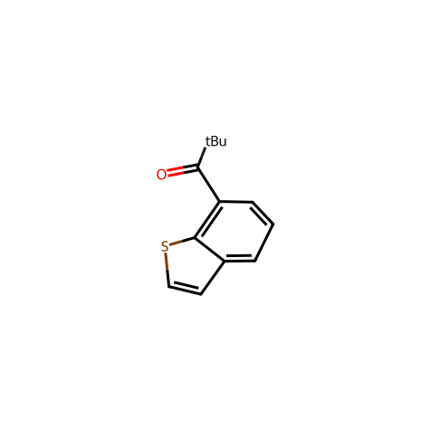 CC(C)(C)C(=O)c1cccc2ccsc12